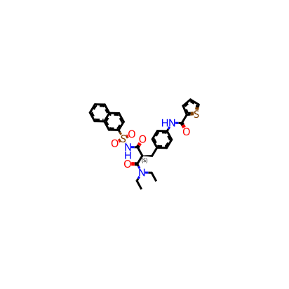 CCN(CC)C(=O)[C@H](Cc1ccc(NC(=O)c2cccs2)cc1)C(=O)NS(=O)(=O)c1ccc2ccccc2c1